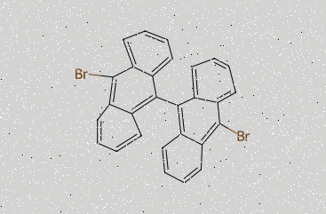 Brc1c2ccccc2c(-c2c3ccccc3c(Br)c3ccccc23)c2ccccc12